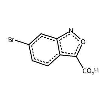 O=C(O)c1onc2cc(Br)ccc12